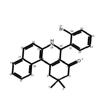 CC1(C)CC(=O)C2=C(C1)c1c(ccc3ccccc13)NC2c1ccccc1Br